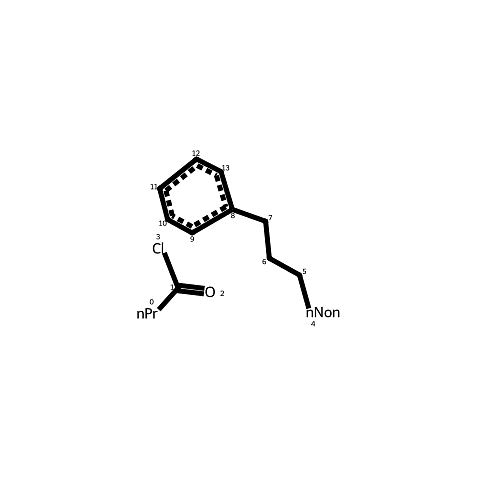 CCCC(=O)Cl.CCCCCCCCCCCCc1ccccc1